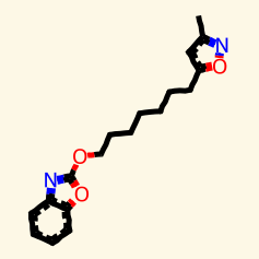 Cc1cc(CCCCCCCOc2nc3ccccc3o2)on1